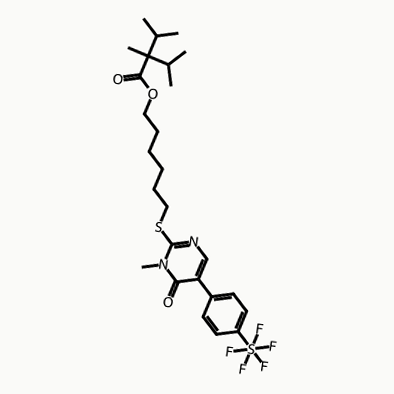 CC(C)C(C)(C(=O)OCCCCCCSc1ncc(-c2ccc(S(F)(F)(F)(F)F)cc2)c(=O)n1C)C(C)C